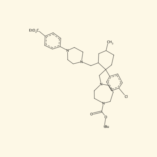 CCOC(=O)c1ccc(N2CCN(CC3CC(C)CCC3(CN3CCCN(C(=O)OC(C)(C)C)CC3)c3ccc(Cl)cc3)CC2)cc1